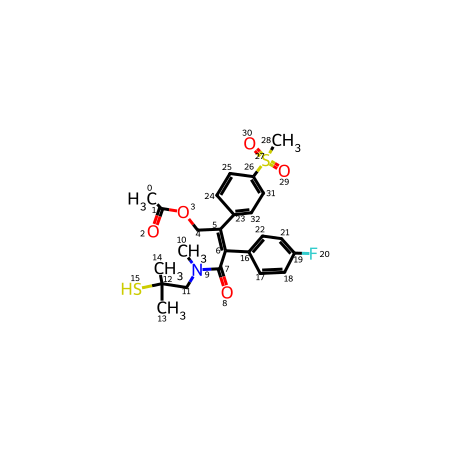 CC(=O)OCC(=C(C(=O)N(C)CC(C)(C)S)c1ccc(F)cc1)c1ccc(S(C)(=O)=O)cc1